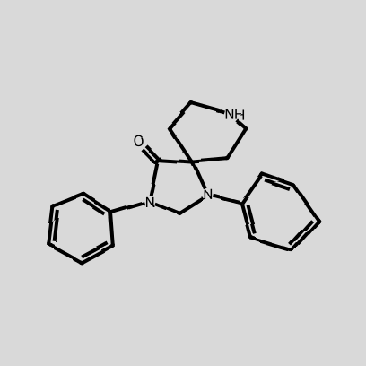 O=C1N(c2ccccc2)CN(c2ccccc2)C12CCNCC2